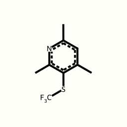 Cc1cc(C)c(SC(F)(F)F)c(C)n1